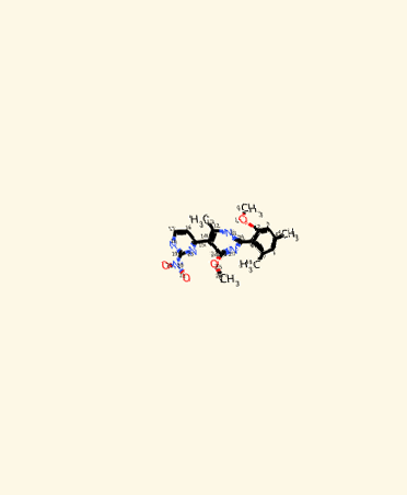 COc1cc(C)cc(C)c1-c1nc(C)c(-c2ccnc([N+](=O)[O-])n2)c(OC)n1